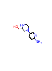 Nc1ccc(N2CCN[C@@H](CO)C2)cn1